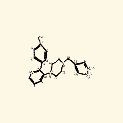 Fc1ccc(-c2ncccc2N2CCN(Cc3cn[nH]c3)CC2)cc1